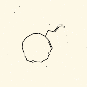 C=CCC1C=CCCCCCCCCCCC1